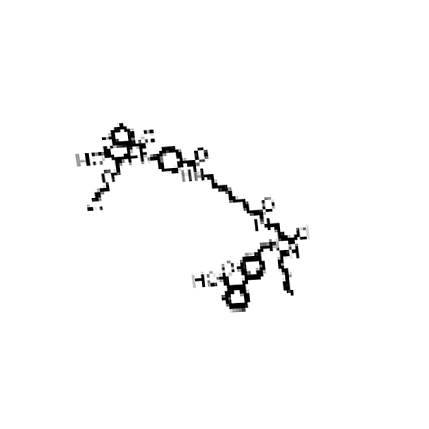 CCCCc1nc(Cl)c(CNC(=O)CCCCCCNC(=O)C2CCC(NC(=O)C3(CC(COCCOC)C(=O)O)CCCC3)CC2)n1Cc1ccc(-c2ccccc2C(=O)O)cc1